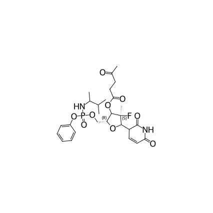 CC(=O)CCC(=O)OC1[C@@H](COP(=O)(NC(C)C(C)C)Oc2ccccc2)OC(C2C=CC(=O)NC2=O)[C@]1(C)F